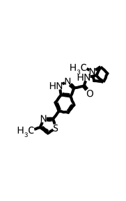 Cc1csc(-c2ccc3c(C(=O)NC4C5CC4N(C)C5)n[nH]c3c2)n1